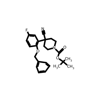 CC(C)(C)OC(=O)N1CCC(C#N)(c2cc(F)ccc2OCc2ccccc2)CC1